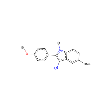 CCOc1ccc(-c2c(N)c3cc(OC)ccc3n2CC)cc1